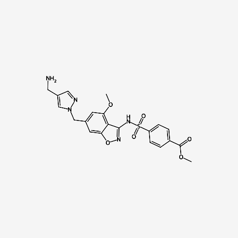 COC(=O)c1ccc(S(=O)(=O)Nc2noc3cc(Cn4cc(CN)cn4)cc(OC)c23)cc1